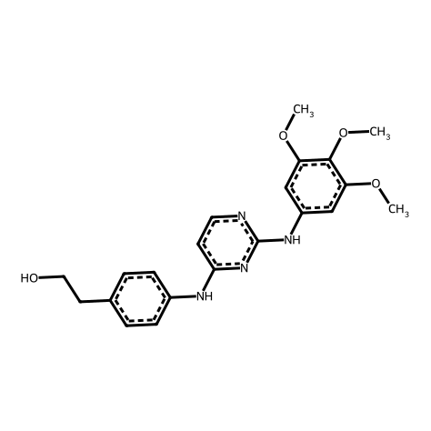 COc1cc(Nc2nccc(Nc3ccc(CCO)cc3)n2)cc(OC)c1OC